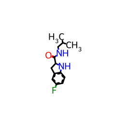 CC(C)CNC(=O)C1Cc2cc(F)ccc2N1